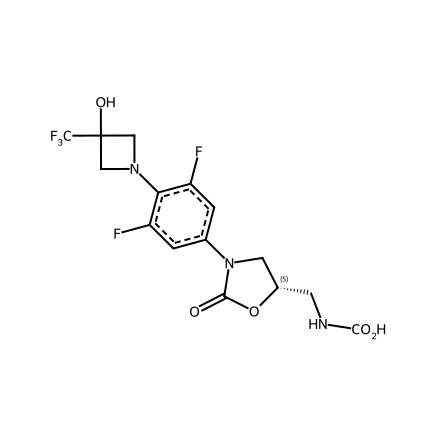 O=C(O)NC[C@H]1CN(c2cc(F)c(N3CC(O)(C(F)(F)F)C3)c(F)c2)C(=O)O1